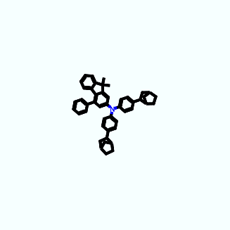 CC1(C)c2ccccc2-c2c(-c3ccccc3)cc(N(c3ccc(C4CC5CCC4C5)cc3)c3ccc(C4CC5CCC4C5)cc3)cc21